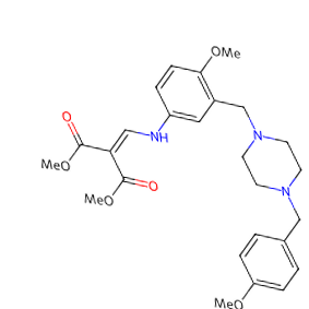 COC(=O)C(=CNc1ccc(OC)c(CN2CCN(Cc3ccc(OC)cc3)CC2)c1)C(=O)OC